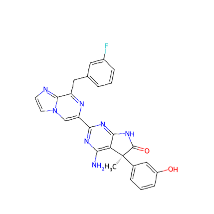 C[C@@]1(c2cccc(O)c2)C(=O)Nc2nc(-c3cn4ccnc4c(Cc4cccc(F)c4)n3)nc(N)c21